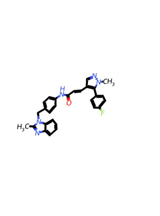 Cc1nc2ccccc2n1Cc1ccc(NC(=O)/C=C/c2cnn(C)c2-c2ccc(F)cc2)cc1